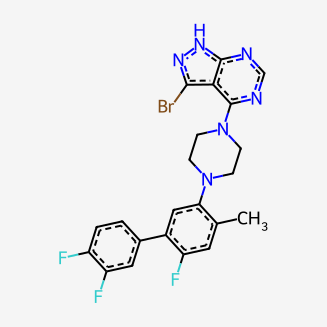 Cc1cc(F)c(-c2ccc(F)c(F)c2)cc1N1CCN(c2ncnc3[nH]nc(Br)c23)CC1